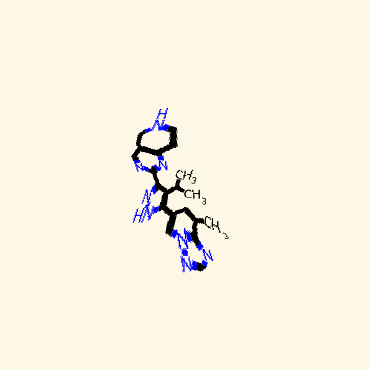 Cc1cc(-c2[nH]nc(-c3ncc4c(n3)CCNC4)c2C(C)C)cn2ncnc12